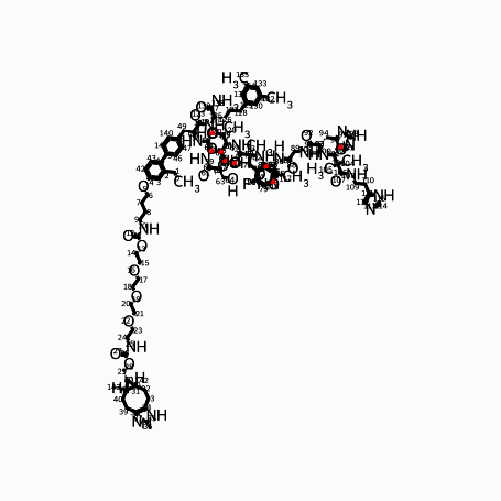 CCc1cc(OCCCCNC(=O)OCCOCCOCCOCCNC(=O)OC[C@@H]2[C@@H]3CCc4[nH]nnc4CC[C@@H]32)ccc1-c1ccc(C[C@H](NC(=O)[C@H](CC(=O)O)NC(=O)[C@H](CO)NC(=O)[C@@H](NC(=O)[C@](C)(Cc2ccccc2F)NC(=O)[C@@H](NC(=O)CNC(=O)[C@H](Cc2nn[nH]n2)NC(=O)C(C)(C)C(=O)NCCc2cnc[nH]2)[C@@H](C)O)[C@@H](C)O)C(=O)N[C@@H](CCCc2cc(C)cc(C)c2)C(N)=O)cc1